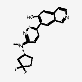 CN(c1ccc(-c2cc3cnccc3cc2O)nn1)[C@@H]1CCC(F)(F)C1